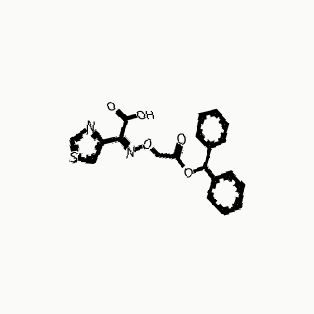 O=C(CO/N=C(\C(=O)O)c1cscn1)OC(c1ccccc1)c1ccccc1